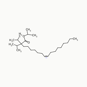 CCCCCCCC/C=C\CCCCCCC(C(=O)OC(C)C)(C(C)C)C(C)C